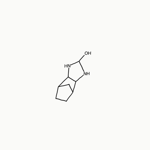 OC1NC2C3CCC(C3)C2N1